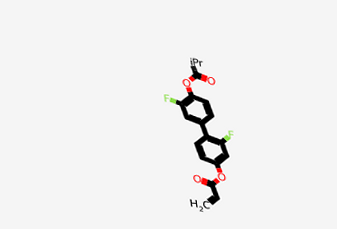 C=CC(=O)Oc1ccc(-c2ccc(OC(=O)C(C)C)c(F)c2)c(F)c1